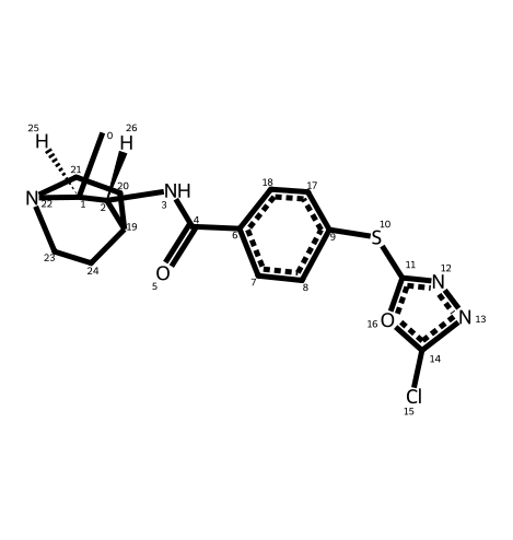 C[C@H]1[C@H](NC(=O)c2ccc(Sc3nnc(Cl)o3)cc2)C2CCN1CC2